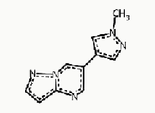 Cn1cc(-c2cnc3ccnn3c2)cn1